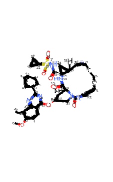 COc1ccc2c(O[C@@H]3C[C@H]4C(=O)N[C@]5(C(=O)NS(=O)(=O)C6CC6)C[C@@H]5/C=C\CCCCCNC(=O)N4C3)nc(-c3ccccc3)nc2c1C